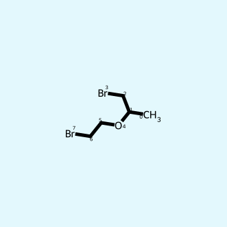 CC(CBr)OCCBr